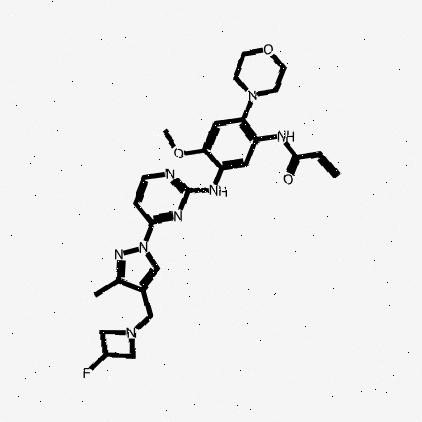 C=CC(=O)Nc1cc(Nc2nccc(-n3cc(CN4CC(F)C4)c(C)n3)n2)c(OC)cc1N1CCOCC1